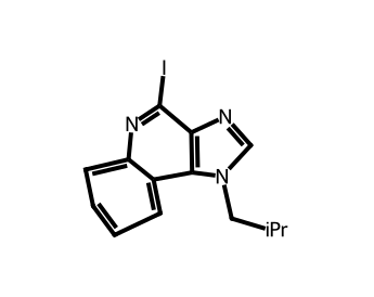 CC(C)Cn1cnc2c(I)nc3ccccc3c21